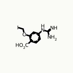 N=C(N)Nc1ccc(C(=O)O)c(OCI)c1